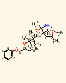 CC(CC(C)(C)C(C)(N)OCC(C)(C)C(C)(C)OC(COc1ccccc1)CC(C)(C)C)OC(C)(C)C